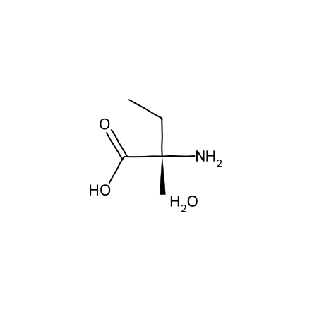 CC[C@](C)(N)C(=O)O.O